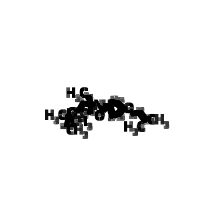 CCC(CC)(CCOC(C)(C)CC)NC(=O)c1ccc(OCC=C(C)C)cc1